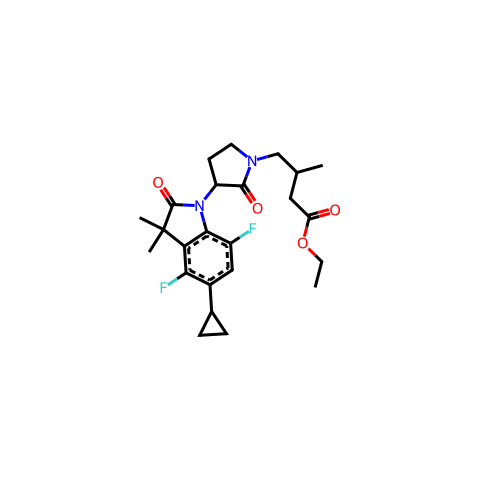 CCOC(=O)CC(C)CN1CCC(N2C(=O)C(C)(C)c3c(F)c(C4CC4)cc(F)c32)C1=O